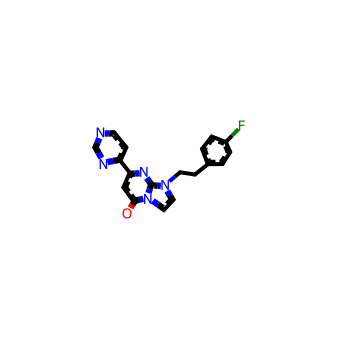 O=c1cc(-c2ccncn2)nc2n(CCc3ccc(F)cc3)ccn12